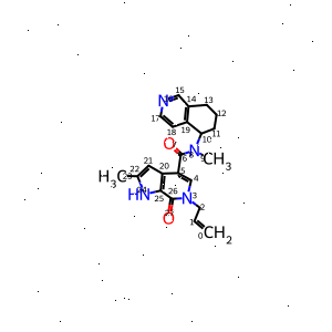 C=CCn1cc(C(=O)N(C)C2CCCc3cnccc32)c2cc(C)[nH]c2c1=O